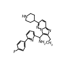 CCc1nc2ccc(C3CCNCC3)nn2c1C(N)c1cccc(-c2ccc(F)cc2)n1